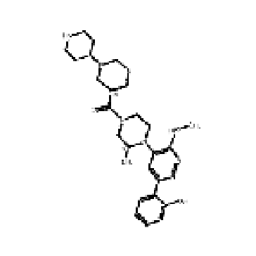 CNc1nnc(-c2ccccc2O)cc1N1CCN(C(=O)[C@@H]2CCCN(C3CCNCC3)C2)C[C@@H]1C